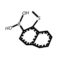 CSc1c(B(O)O)ccc2ccccc12